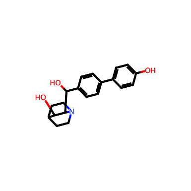 Oc1ccc(-c2ccc(C(O)C3C(O)C4CCN3CC4)cc2)cc1